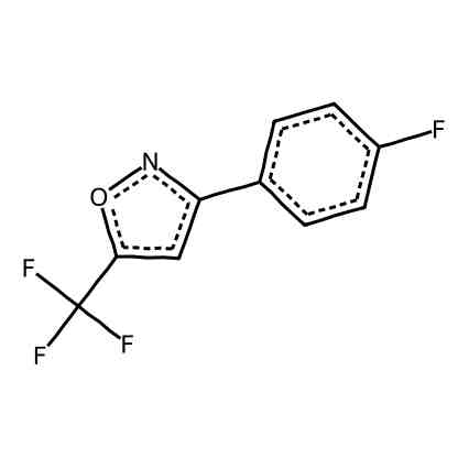 Fc1ccc(-c2cc(C(F)(F)F)on2)cc1